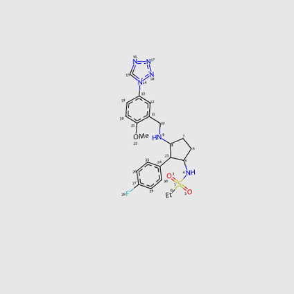 CCS(=O)(=O)NC1CCC(NCc2cc(-n3cnnn3)ccc2OC)C1c1ccc(F)cc1